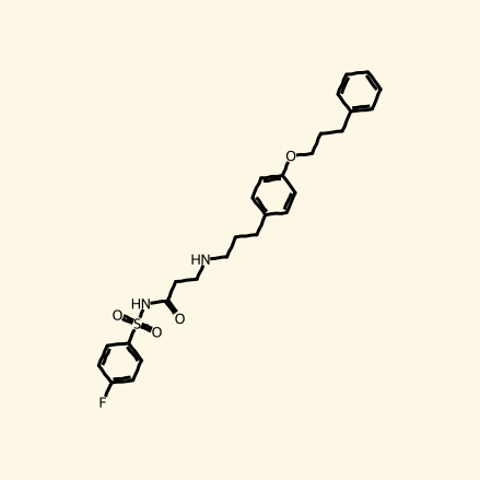 O=C(CCNCCCc1ccc(OCCCc2ccccc2)cc1)NS(=O)(=O)c1ccc(F)cc1